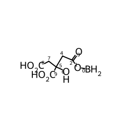 BOC(=O)CC(O)(CC(=O)O)C(=O)O